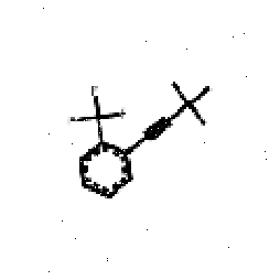 CC(C)(C)C#Cc1ccccc1C(F)(F)F